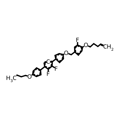 C=CCCCOc1ccc(COc2ccc(-c3ccc(-c4ccc(OCCCC)cc4)c(F)c3F)cc2)cc1F